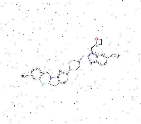 N#Cc1ccc(CN2CCc3ccc(C4CCN(Cc5nc6ccc(C(=O)O)cc6n5C[C@@H]5CCO5)CC4)nc32)c(F)c1